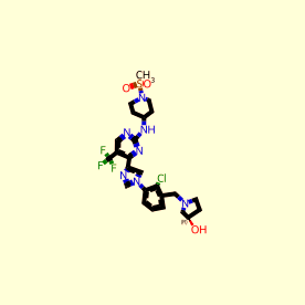 CS(=O)(=O)N1CCC(Nc2ncc(C(F)(F)F)c(-c3cn(-c4cccc(CN5CC[C@@H](O)C5)c4Cl)cn3)n2)CC1